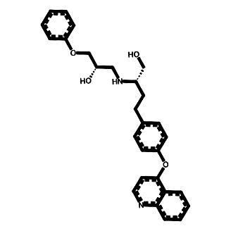 OC[C@H](CCc1ccc(Oc2ccnc3ccccc23)cc1)NC[C@H](O)COc1ccccc1